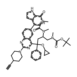 C#CC1CCN(c2nc(C(CC(CN(C)C(=O)OC(C)(C)C)N(C)C(=O)O)(OC3CC3)c3ccccc3)c3cc(-c4cn(C)c(=O)c5[nH]ccc45)ccc3n2)CC1